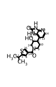 CC(C)c1cc(C(=O)N2CCC(c3ccnc4[nH]c(=O)[nH]c34)C(O)C2)cs1